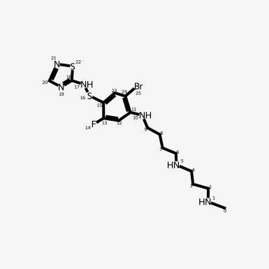 CNCCCNCCCCNc1cc(F)c(SNc2ncns2)cc1Br